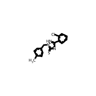 Cc1ccc(Cn2[nH]c(-c3ccccc3Cl)nc2=S)cc1